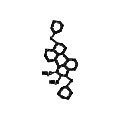 O=C(O)c1c(Sc2ccccc2)c2cccc3c4ccc(Sc5ccccc5)c5cccc(c(c1C(=O)O)c23)c54